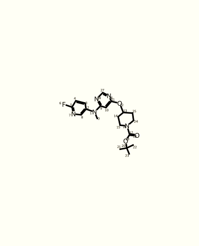 CN(c1ccc(F)nc1)c1cc(OC2CCN(C(=O)OC(C)(C)C)CC2)ncn1